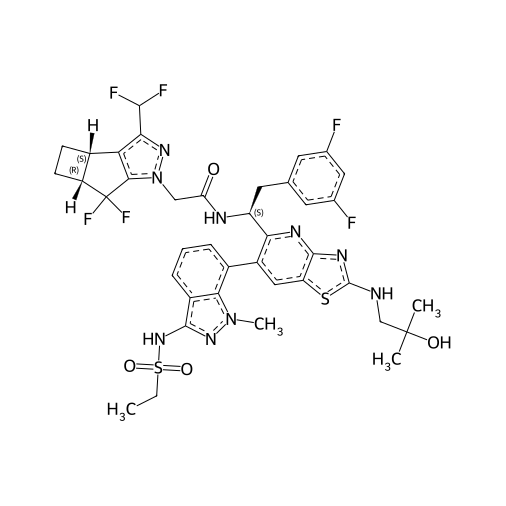 CCS(=O)(=O)Nc1nn(C)c2c(-c3cc4sc(NCC(C)(C)O)nc4nc3[C@H](Cc3cc(F)cc(F)c3)NC(=O)Cn3nc(C(F)F)c4c3C(F)(F)[C@@H]3CC[C@H]43)cccc12